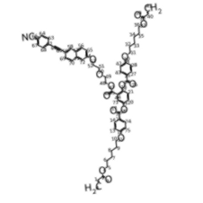 C=CC(=O)OCCCCCCOc1ccc(C(=O)Oc2ccc(OC(=O)c3ccc(OCCCCCCOC(=O)C=C)cc3)c(C(=O)OCCOCCOc3ccc4cc(C#Cc5ccc(C#N)cc5)ccc4c3)c2)cc1